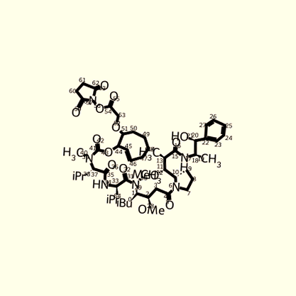 CC[C@H](C)[C@@H]([C@@H](CC(=O)N1CCC[C@H]1[C@H](OC)[C@@H](C)C(=O)N[C@H](C)[C@@H](O)c1ccccc1)OC)N(C)C(=O)[C@H](NC(=O)[C@H](C(C)C)N(C)C(=O)OC1/C=C/CCCCC1OCC(=O)ON1C(=O)CCC1=O)C(C)C